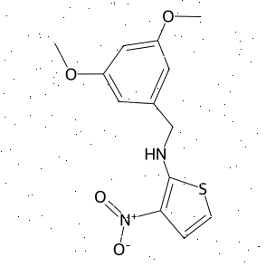 COc1cc(CNc2sccc2[N+](=O)[O-])cc(OC)c1